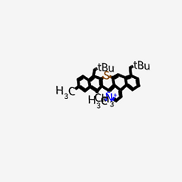 Cc1ccc2c(CC(C)(C)C)c3c(c(C)c2c1)-c1c2c(cc4c(CC(C)(C)C)cccc4c2cc[n+]1C)S3